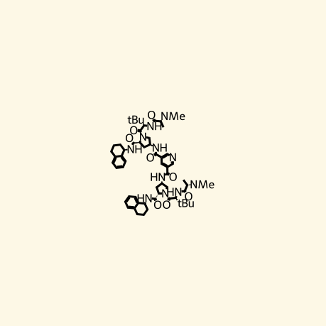 CN[C@@H](C)C(=O)N[C@H](C(=O)N1C[C@@H](NC(=O)c2cncc(C(=O)N[C@H]3C[C@@H](C(=O)N[C@@H]4CCCc5ccccc54)N(C(=O)[C@@H](NC(=O)[C@H](C)NC)C(C)(C)C)C3)c2)C[C@H]1C(=O)NC1CCCc2ccccc21)C(C)(C)C